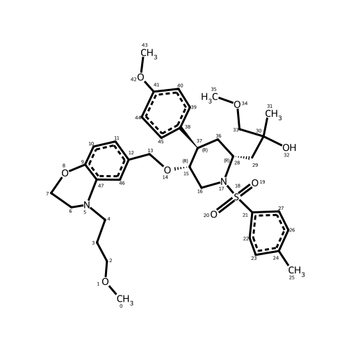 COCCCN1CCOc2ccc(CO[C@H]3CN(S(=O)(=O)c4ccc(C)cc4)[C@@H](CC(C)(O)COC)C[C@@H]3c3ccc(OC)cc3)cc21